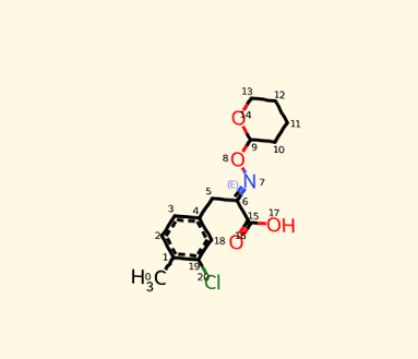 Cc1ccc(C/C(=N\OC2CCCCO2)C(=O)O)cc1Cl